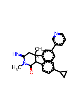 CN1C(=N)C[C@](C)(c2cccc(-c3cccnc3)c2)C(c2ccc(C3CC3)cc2)C1=O